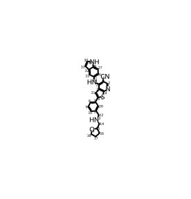 N#Cc1cnc2sc(-c3cccc(CNCC4CCCO4)c3)cc2c1Nc1ccc2[nH]ccc2c1